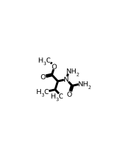 COC(=O)C(C(C)C)N(N)C(N)=O